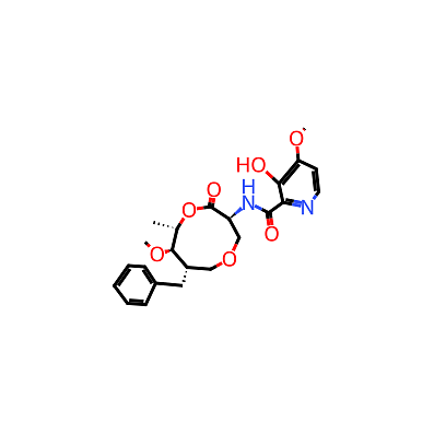 COc1ccnc(C(=O)N[C@H]2COC[C@H](Cc3ccccc3)[C@@H](OC)[C@H](C)OC2=O)c1O